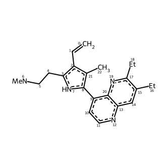 C=Cc1c(CCNC)[nH]c(-c2ccnc3cc(CC)c(CC)nc23)c1C